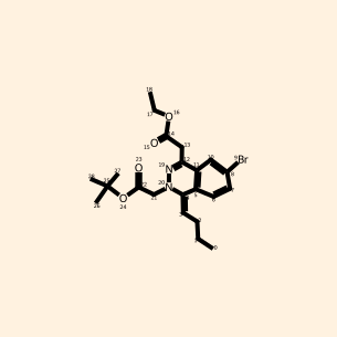 CCC/C=C1\c2ccc(Br)cc2C(CC(=O)OCC)=NN1CC(=O)OC(C)(C)C